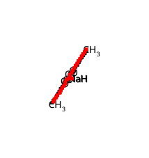 CCCCCCCCCCCCCCCCCCOC(=O)COC(=O)/C=C/C(=O)OCC(=O)OCCCCCCCCCCCCCCCCCC.[NaH].[NaH]